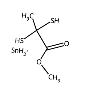 COC(=O)C(C)(S)S.[SnH2]